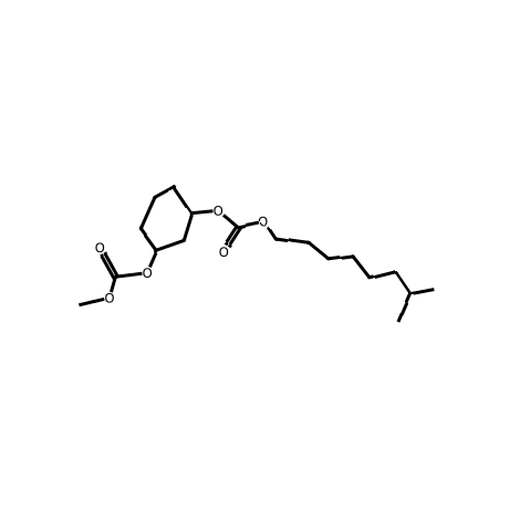 COC(=O)OC1CCCC(OC(=O)OCCCCCCC(C)C)C1